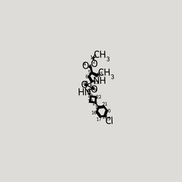 CCOC(=O)c1cc(S(=O)(=O)N[C@H]2C[C@H](c3ccc(Cl)cc3)C2)[nH]c1C